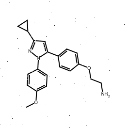 COc1ccc(-n2nc(C3CC3)cc2-c2ccc(OCCN)cc2)cc1